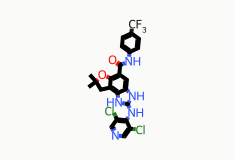 CC1(C)Cc2c3c(cc(C(=O)Nc4ccc(C(F)(F)F)cc4)c2O1)NC(Nc1c(Cl)cncc1Cl)N3